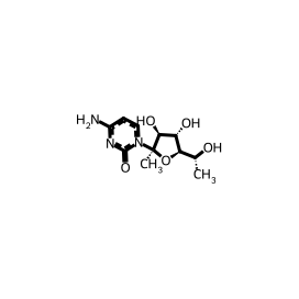 C[C@@H](O)[C@H]1O[C@@](C)(n2ccc(N)nc2=O)[C@@H](O)[C@@H]1O